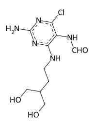 Nc1nc(Cl)c(NC=O)c(NCCC(CO)CO)n1